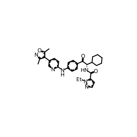 CCn1nccc1C(=O)N[C@H](C(=O)c1ccc(Nc2ccc(-c3c(C)noc3C)cn2)cc1)C1CCCCC1